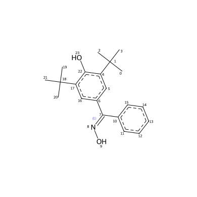 CC(C)(C)c1cc(/C(=N/O)c2ccccc2)cc(C(C)(C)C)c1O